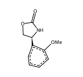 COc1ccccc1[C@H]1COC(=O)N1